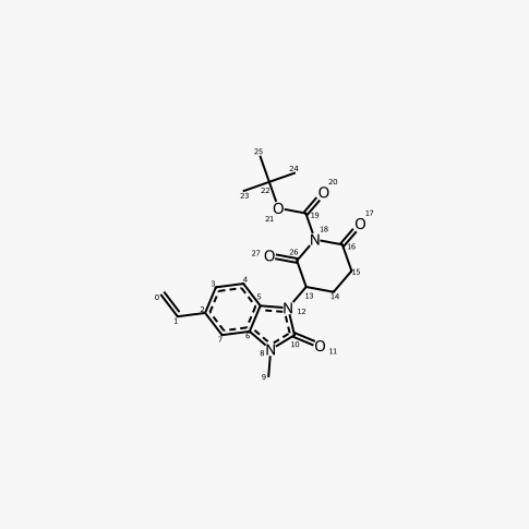 C=Cc1ccc2c(c1)n(C)c(=O)n2C1CCC(=O)N(C(=O)OC(C)(C)C)C1=O